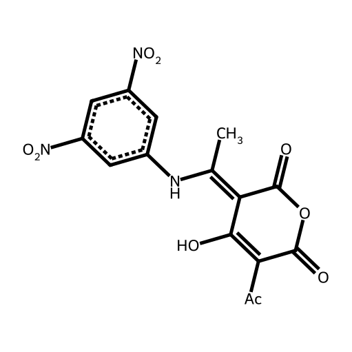 CC(=O)C1=C(O)C(=C(C)Nc2cc([N+](=O)[O-])cc([N+](=O)[O-])c2)C(=O)OC1=O